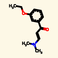 CCOc1cccc(C(=O)C=CN(C)C)c1